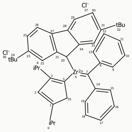 CC(C)C1=CC(C(C)C)=[C]([Zr+2](=[C](c2ccccc2)c2ccccc2)[CH]2c3cc(C(C)(C)C)ccc3-c3ccc(C(C)(C)C)cc32)C1.[Cl-].[Cl-]